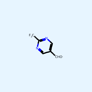 O=[C]c1cnc(C(F)(F)F)nc1